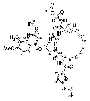 COc1ccc2c(O[C@@H]3C[C@H]4C(=O)N[C@]5(C(=O)NS(=O)(=O)C6CC6)C[C@H]5/C=C\CCCCC[C@H](NC(=O)c5ccn(CCF)n5)C(=O)N4C3)cc(OC(C)C)nc2c1C